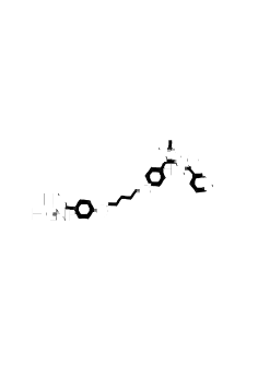 Cc1nc(-c2ccc(OCCCCCOc3ccc(C(=N)NO)cc3)cc2)c(NC(=O)c2cccnc2)s1